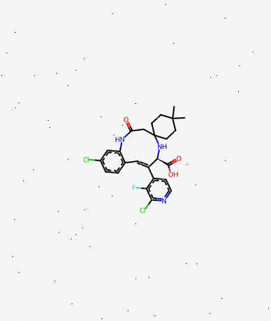 CC1(C)CCC2(CC1)CC(=O)Nc1cc(Cl)ccc1/C=C(\c1ccnc(Cl)c1F)[C@H](C(=O)O)N2